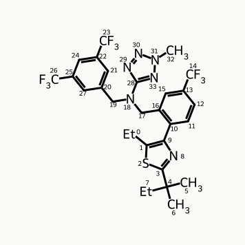 CCc1sc(C(C)(C)CC)nc1-c1ccc(C(F)(F)F)cc1CN(Cc1cc(C(F)(F)F)cc(C(F)(F)F)c1)c1nnn(C)n1